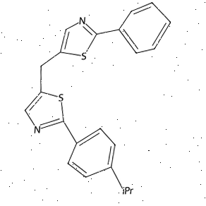 CC(C)c1ccc(-c2ncc(Cc3cnc(-c4ccccc4)s3)s2)cc1